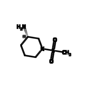 CS(=O)(=O)N1CCC[C@H](N)C1